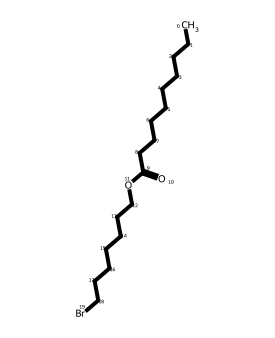 CCCCCCCCCC(=O)OCCCCCCCBr